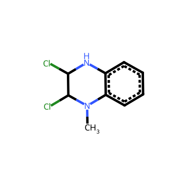 CN1c2ccccc2NC(Cl)C1Cl